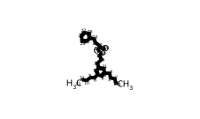 CCCCCc1cc(CCCCC)cc(CCCOS(=O)(=O)CCCc2ccccc2)c1